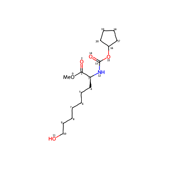 COC(=O)[C@H](CCCCCCCO)NC(=O)OC1CCCC1